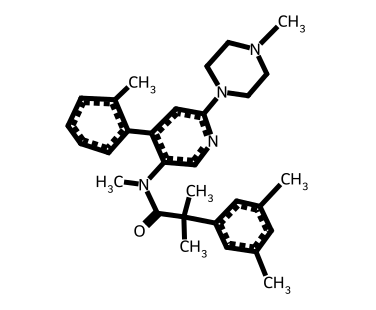 Cc1cc(C)cc(C(C)(C)C(=O)N(C)c2cnc(N3CCN(C)CC3)cc2-c2ccccc2C)c1